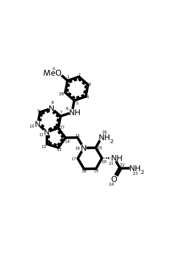 COc1cccc(Nc2ncnn3ccc(CN4CCC[C@@H](NC(N)=O)C4N)c23)c1